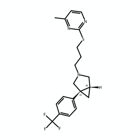 Cc1ccnc(SCCCN2C[C@@H]3C[C@]3(c3ccc(C(F)(F)F)cc3)C2)n1